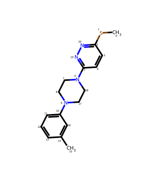 CSc1ccc(N2CCN(c3cccc(C)c3)CC2)nn1